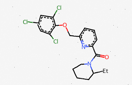 CCC1CCCCN1C(=O)c1cccc(COc2c(Cl)cc(Cl)cc2Cl)n1